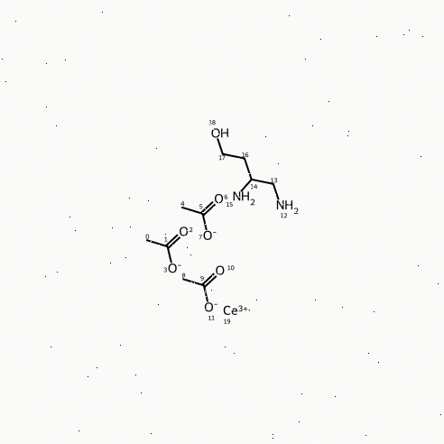 CC(=O)[O-].CC(=O)[O-].CC(=O)[O-].NCC(N)CCO.[Ce+3]